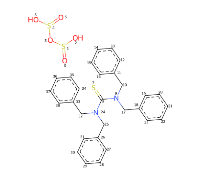 O=S(O)OS(=O)O.S=C(N(Cc1ccccc1)Cc1ccccc1)N(Cc1ccccc1)Cc1ccccc1